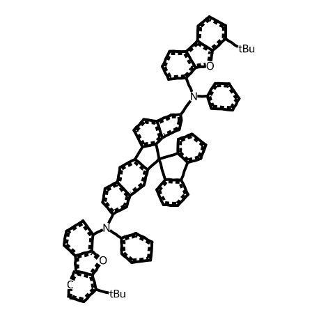 CC(C)(C)c1cccc2c1oc1c(N(c3ccccc3)c3ccc4cc5c(cc4c3)C3(c4ccccc4-c4ccccc43)c3c-5ccc4cc(N(c5ccccc5)c5cccc6c5oc5c(C(C)(C)C)cccc56)ccc34)cccc12